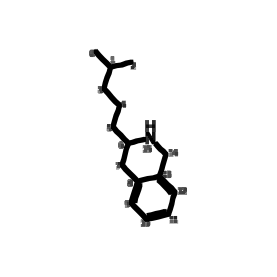 CC(C)CCCC1Cc2ccccc2CN1